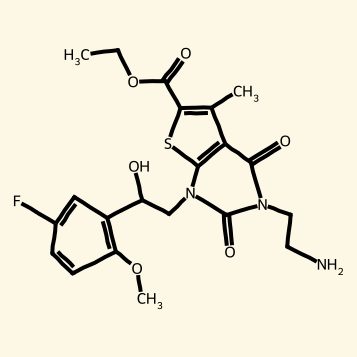 CCOC(=O)c1sc2c(c1C)c(=O)n(CCN)c(=O)n2CC(O)c1cc(F)ccc1OC